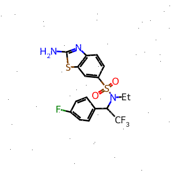 CCN(C(c1ccc(F)cc1)C(F)(F)F)S(=O)(=O)c1ccc2nc(N)sc2c1